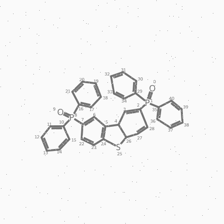 O=P(C1=CC2c3cc(P(=O)(c4ccccc4)c4ccccc4)ccc3SC2C=C1)(c1ccccc1)c1ccccc1